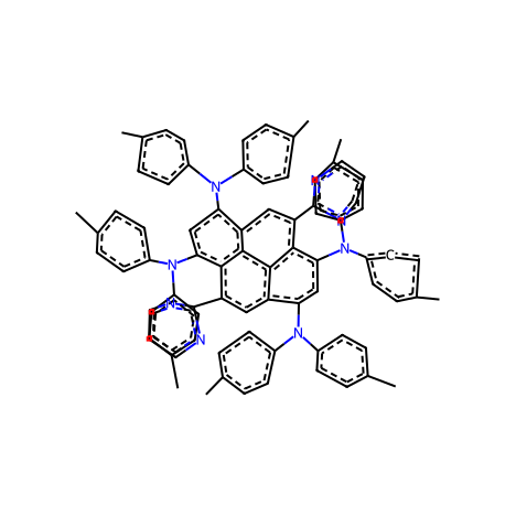 Cc1ccc(N(c2ccc(C)cc2)c2cc(N(c3ccc(C)cc3)c3ccc(C)cc3)c3c(-c4ncccn4)cc4c(N(c5ccc(C)cc5)c5ccc(C)cc5)cc(N(c5ccc(C)cc5)c5ccc(C)cc5)c5c(-c6ncccn6)cc2c3c45)cc1